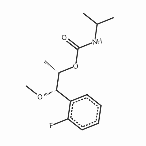 CO[C@@H](c1ccccc1F)[C@H](C)OC(=O)NC(C)C